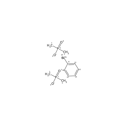 CP(C)(=O)[O-].CP(C)(=O)[O-].[Bi+2][c]1ccccc1